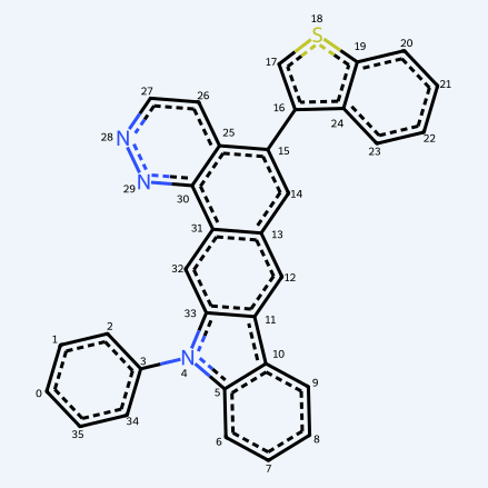 c1ccc(-n2c3ccccc3c3cc4cc(-c5csc6ccccc56)c5ccnnc5c4cc32)cc1